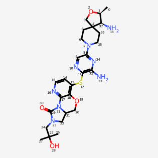 C[C@@H]1OCC2(CCN(c3cnc(Sc4ccnc5c4OCC4CN(CC(C)(C)O)C(=O)N54)c(N)n3)CC2)[C@@H]1N